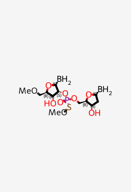 B[C@@H]1O[C@H](COC)[C@@H](O)[C@H]1OP(=O)(OC[C@H]1O[C@@H](B)C[C@@H]1O)SOC